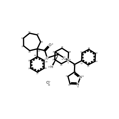 O=C(O[C@H]1C[N+]2(C(C3=NN=CC3)c3ccccc3)CCC1CC2)C1(c2ccccc2)CCCCCC1.[Cl-]